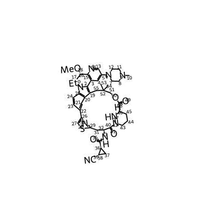 CCn1c(-c2cc(N3CCN(C)CC3)cnc2[C@H](C)OC)c2c3cc(ccc31)-c1csc(n1)C[C@H](NC(=O)[C@H]1C[C@@H]1C#N)C(=O)N1CCC[C@H](N1)C(=O)OCC(C)(C)C2